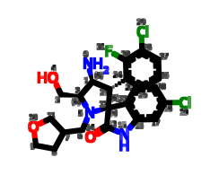 N[C@@H]1[C@H](CO)N(CC2CCOC2)[C@@]2(C(=O)Nc3cc(Cl)ccc32)[C@H]1c1cccc(Cl)c1F